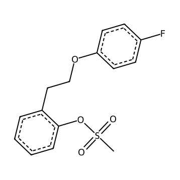 CS(=O)(=O)Oc1ccccc1CCOc1ccc(F)cc1